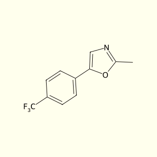 Cc1ncc(-c2ccc(C(F)(F)F)cc2)o1